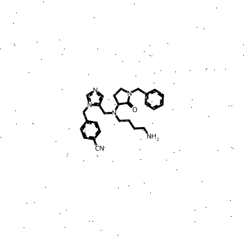 N#Cc1ccc(Cn2cncc2CN(CCCCN)C2CCN(Cc3ccccc3)C2=O)cc1